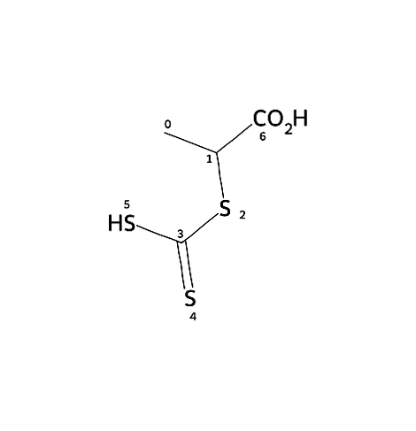 CC(SC(=S)S)C(=O)O